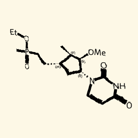 CCOP(C)(=O)CC[C@H]1C[C@@H](n2ccc(=O)[nH]c2=O)[C@H](OC)[C@@H]1C